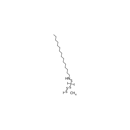 C.CCCCCCCCCCCCCCCCNSC(I)(I)SSSI